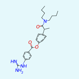 CCCCN(CCCC)C(=O)C(C)c1ccc(OC(=O)c2ccc(NC(=N)N)cc2)cc1